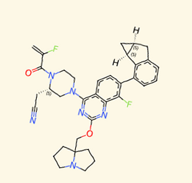 C=C(F)C(=O)N1CCN(c2nc(OCC34CCCN3CCC4)nc3c(F)c(-c4cccc5c4[C@H]4C[C@H]4C5)ccc23)C[C@@H]1CC#N